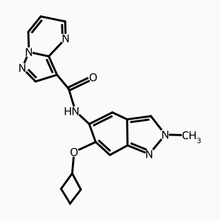 Cn1cc2cc(NC(=O)c3cnn4cccnc34)c(OC3CCC3)cc2n1